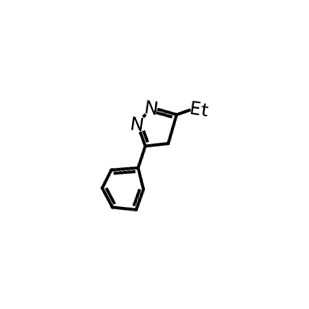 CCC1=NN=C(c2ccccc2)C1